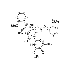 COc1ccccc1SSCC(C)(CC(C(=O)NC(CC(C)C)C(=O)OC(C)(C)C)C(=O)OC(C)(C)C)NC(=O)c1ccccc1OC